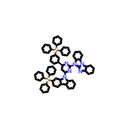 c1ccc(S(c2ccccc2)(c2ccccc2)c2cccc(-c3cc(-n4c5ccccc5c5ccc(S(c6ccccc6)(c6ccccc6)c6ccccc6)cc54)nc(-n4c5ccccc5n5c6ccccc6nc45)n3)c2)cc1